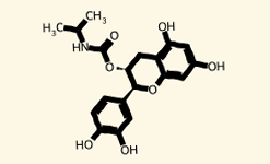 CC(C)NC(=O)O[C@@H]1Cc2c(O)cc(O)cc2O[C@H]1c1ccc(O)c(O)c1